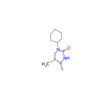 Cc1cn(C2CCCCC2)c(=O)[nH]c1=S